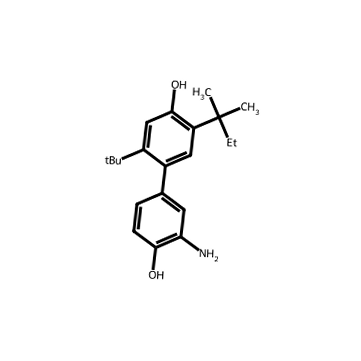 CCC(C)(C)c1cc(-c2ccc(O)c(N)c2)c(C(C)(C)C)cc1O